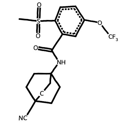 CS(=O)(=O)c1ccc(OC(F)(F)F)cc1C(=O)NC12CCC(C#N)(CC1)CC2